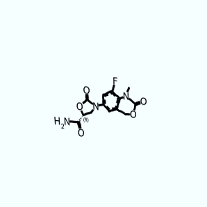 CN1C(=O)OCc2cc(N3C[C@H](C(N)=O)OC3=O)cc(F)c21